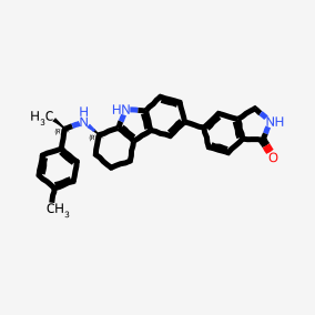 Cc1ccc([C@@H](C)N[C@@H]2CCCc3c2[nH]c2ccc(-c4ccc5c(c4)CNC5=O)cc32)cc1